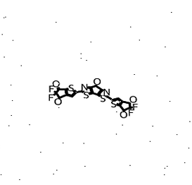 O=C1c2nc(-c3cc4c(s3)C(=O)C(F)(F)C4=O)sc2-c2sc(-c3cc4c(s3)C(=O)C(F)(F)C4=O)nc21